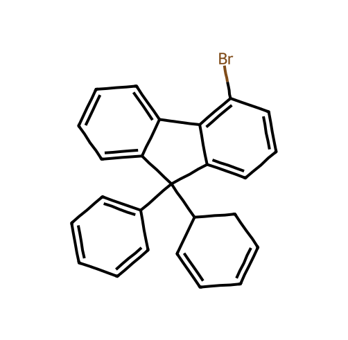 Brc1cccc2c1-c1ccccc1C2(c1ccccc1)C1C=CC=CC1